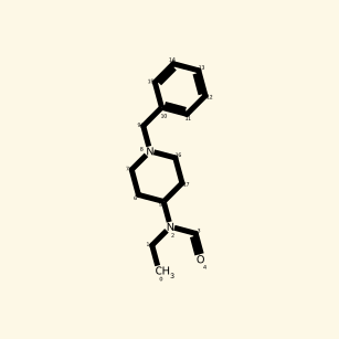 CCN(C=O)C1CCN(Cc2ccccc2)CC1